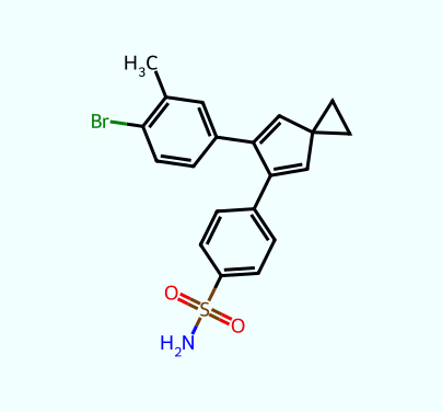 Cc1cc(C2=CC3(C=C2c2ccc(S(N)(=O)=O)cc2)CC3)ccc1Br